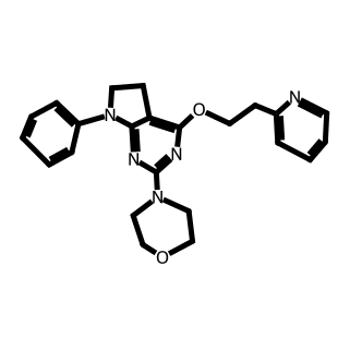 c1ccc(N2CCc3c(OCCc4ccccn4)nc(N4CCOCC4)nc32)cc1